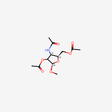 CO[C@@H]1O[C@H](COC(C)=O)[C@H](NC(C)=O)C1OC(C)=O